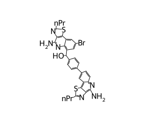 CCCc1nc2c(N)nc3ccc(-c4ccc(C(O)c5cc(Br)cc6c5nc(N)c5nc(CCC)sc56)cc4)cc3c2s1